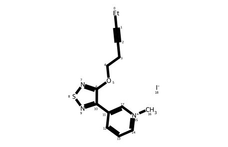 CCC#CCCOc1nsnc1-c1ccc[n+](C)c1.[I-]